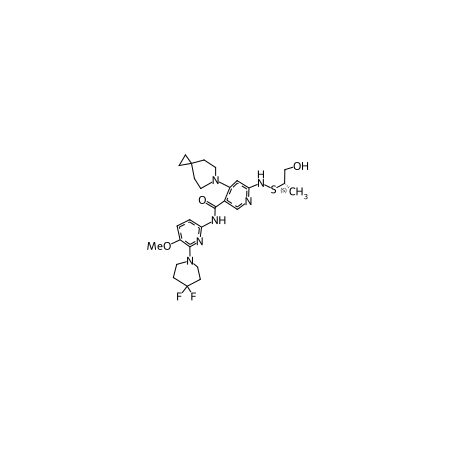 COc1ccc(NC(=O)c2cnc(NS[C@@H](C)CO)cc2N2CCC3(CC2)CC3)nc1N1CCC(F)(F)CC1